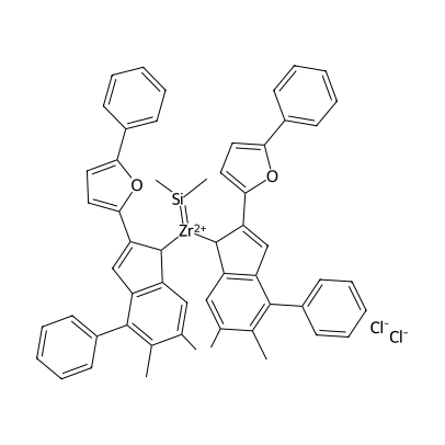 Cc1cc2c(c(-c3ccccc3)c1C)C=C(c1ccc(-c3ccccc3)o1)[CH]2[Zr+2]([CH]1C(c2ccc(-c3ccccc3)o2)=Cc2c1cc(C)c(C)c2-c1ccccc1)=[Si](C)C.[Cl-].[Cl-]